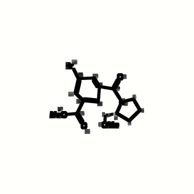 COC[C@H]1CCCN1C(=O)c1cc(Br)cc(C(=O)OC)c1